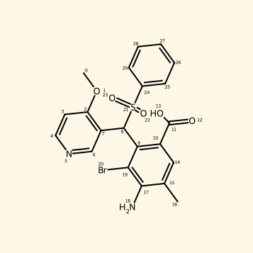 COc1ccncc1C(c1c(C(=O)O)cc(C)c(N)c1Br)S(=O)(=O)c1ccccc1